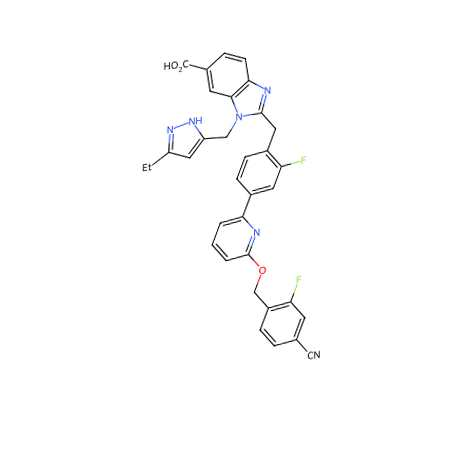 CCc1cc(Cn2c(Cc3ccc(-c4cccc(OCc5ccc(C#N)cc5F)n4)cc3F)nc3ccc(C(=O)O)cc32)[nH]n1